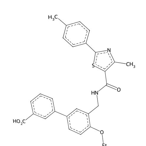 CCOc1ccc(-c2cccc(C(=O)O)c2)cc1CNC(=O)c1sc(-c2ccc(C)cc2)nc1C